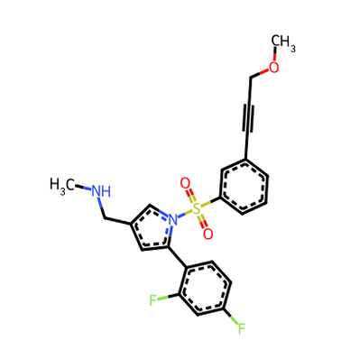 CNCc1cc(-c2ccc(F)cc2F)n(S(=O)(=O)c2cccc(C#CCOC)c2)c1